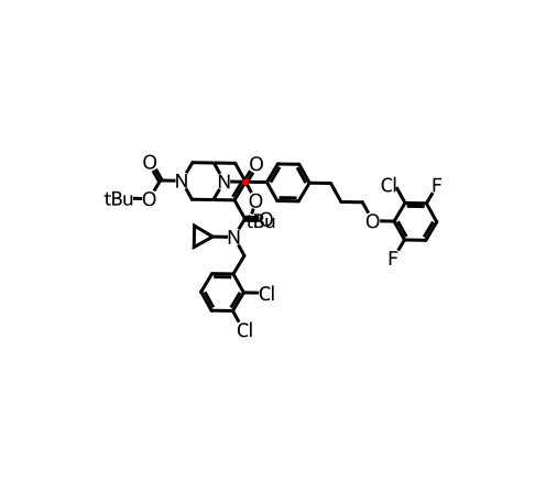 CC(C)(C)OC(=O)N1CC2CC(c3ccc(CCCOc4c(F)ccc(F)c4Cl)cc3)=C(C(=O)N(Cc3cccc(Cl)c3Cl)C3CC3)C(C1)N2C(=O)OC(C)(C)C